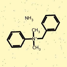 C[N+](C)(Cc1ccccc1)c1ccccc1.N